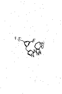 O=C1NCCCc2c1nnn2-c1cc(Cc2cc(F)cc(C(F)(F)F)c2)ccn1